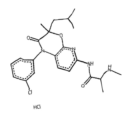 CNC(C)C(=O)Nc1ccc2c(n1)OC(C)(CC(C)C)C(=O)N2c1cccc(Cl)c1.Cl